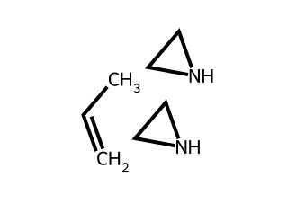 C1CN1.C1CN1.C=CC